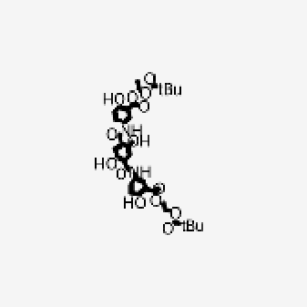 CC(OC(=O)c1cc(NC(=O)c2cc(O)c(C(=O)Nc3ccc(O)c(C(=O)OCCOC(=O)C(C)(C)C)c3)cc2O)ccc1O)OC(=O)C(C)(C)C